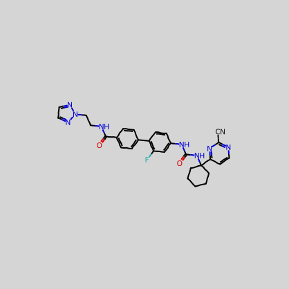 N#Cc1nccc(C2(NC(=O)Nc3ccc(-c4ccc(C(=O)NCCn5nccn5)cc4)c(F)c3)CCCCC2)n1